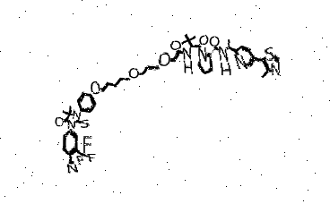 Cc1ncsc1-c1ccc([C@H](C)NC(=O)[C@@H]2CCCN2C(=O)C(NC(=O)COCCCOCCCCCOc2ccc(N3C(=S)N(c4ccc(C#N)c(C(F)(F)F)c4)C(=O)C3(C)C)cc2)C(C)(C)C)nc1